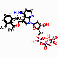 CC(C)C(OCc1cn([C@H]2C[C@@H](O)[C@@H](COP(=O)(O)OP(=O)(O)OP(=O)(O)O)O2)c2nccc(N)c12)c1c([N+](=O)[O-])cccc1[N+](=O)[O-]